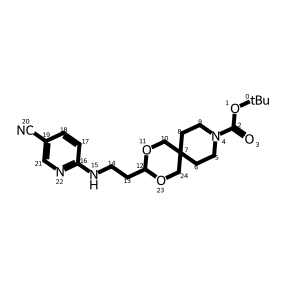 CC(C)(C)OC(=O)N1CCC2(CC1)COC(CCNc1ccc(C#N)cn1)OC2